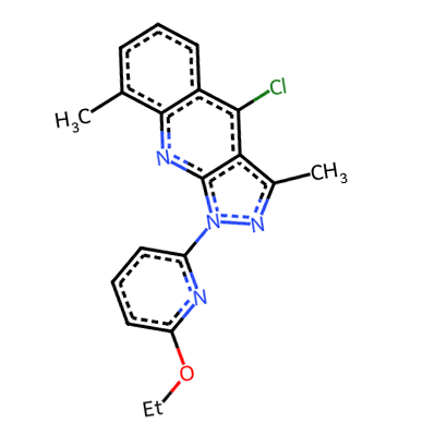 CCOc1cccc(-n2nc(C)c3c(Cl)c4cccc(C)c4nc32)n1